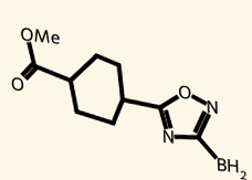 Bc1noc(C2CCC(C(=O)OC)CC2)n1